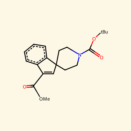 COC(=O)C1=CC2(CCN(C(=O)OC(C)(C)C)CC2)c2ccccc21